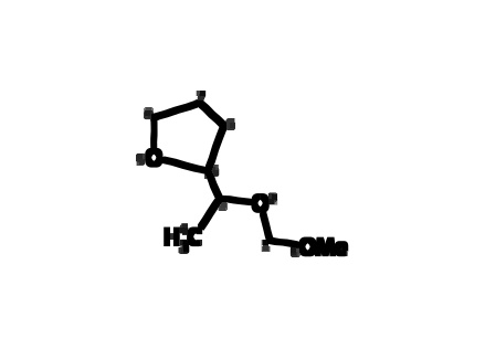 COCOC(C)[C]1CCCO1